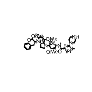 CC[C@H](C)[C@@H]([C@@H](CC(=O)N1CCC[C@H]1[C@H](OC)[C@@H](C)C(=O)N[C@@H](Cc1ccccc1)C(=O)OC)OC)N(C)C(=O)[C@@H](N=C(N(C)C)N1CCNCC1)C(C)C